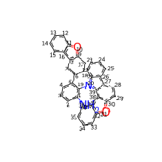 Nc1cccc(C2=Cc3c(oc4ccccc34)CC2)c1-n1c2ccccc2c2ccc3oc4ccccc4c3c21